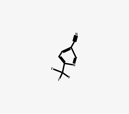 N#Cc1[c]nc(C(F)(F)F)cc1